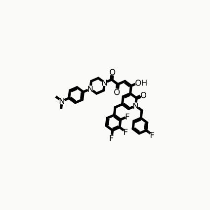 CN(C)c1ccc(N2CCN(C(=O)C(=O)/C=C(/O)c3cc(Cc4ccc(F)c(F)c4F)cn(Cc4cccc(F)c4)c3=O)CC2)cc1